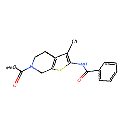 COC(=O)N1CCc2c(sc(NC(=O)c3ccccc3)c2C#N)C1